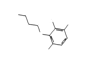 O=Cc1ccc(F)c(OCCCC(=O)O)c1[N+](=O)[O-]